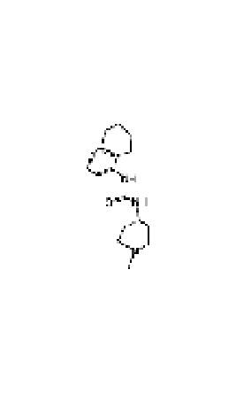 CN1CCC(NC(=O)Nc2cccc3c2CCCC3)CC1